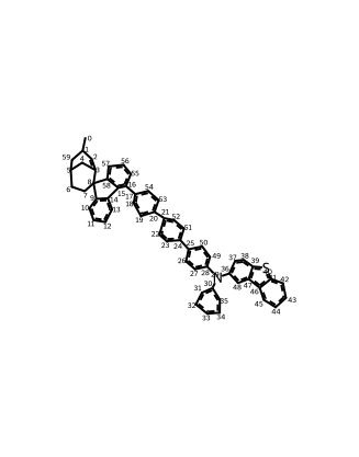 CC1C=C2CC(CCC23c2ccccc2-c2c(-c4ccc(-c5ccc(-c6ccc(N(c7ccccc7)c7ccc8sc9ccccc9c8c7)cc6)cc5)cc4)cccc23)C1